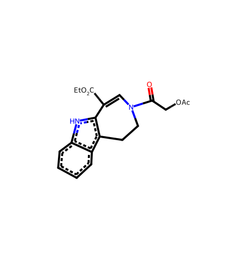 CCOC(=O)C1=CN(C(=O)COC(C)=O)CCc2c1[nH]c1ccccc21